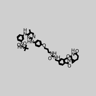 Cc1cnc(Nc2ccc(OCCCNC(=O)NCc3ccc4c(c3)CN([C@@]35CC3CCC(=O)NC5=O)C4=O)cc2)nc1Nc1cccc(S(=O)(=O)NC(C)(C)C)c1